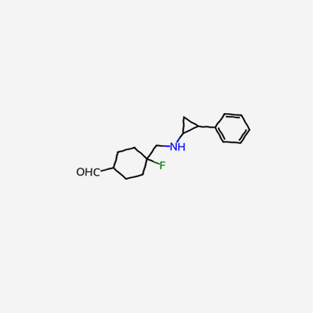 O=CC1CCC(F)(CNC2CC2c2ccccc2)CC1